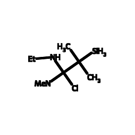 CCNC(Cl)(NC)C(C)(C)[SiH3]